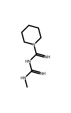 CNC(=N)NC(=N)N1CCCCC1